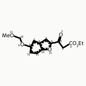 CCOC(=O)CC(=O)c1cc2cc(OCOC)ccc2o1